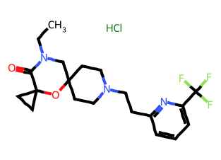 CCN1CC2(CCN(CCc3cccc(C(F)(F)F)n3)CC2)OC2(CC2)C1=O.Cl